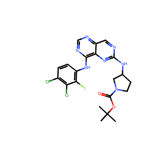 CC(C)(C)OC(=O)N1CCC(Nc2ncc3ncnc(Nc4ccc(Cl)c(Cl)c4F)c3n2)C1